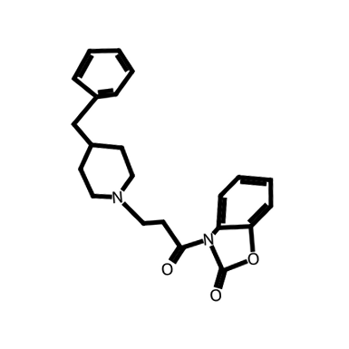 O=C(CCN1CCC(Cc2ccccc2)CC1)n1c(=O)oc2ccccc21